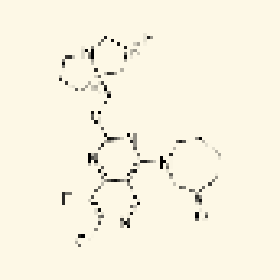 O=C1CCCCN(c2nc(OC[C@@]34CCCN3C[C@H](F)C4)nc3c(F)c(Cl)ncc23)C1